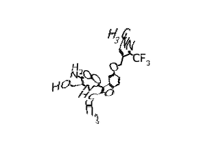 Cc1oc2ccc(OCc3cn(C)nc3C(F)(F)F)cc2c1C(=O)N[C@@H](CO)C(N)=O